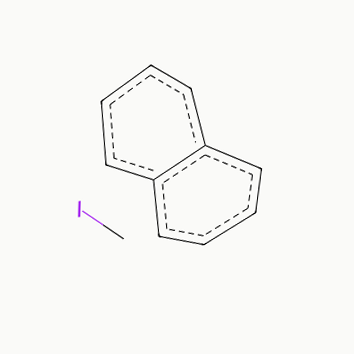 CI.c1ccc2ccccc2c1